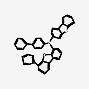 c1ccc(-c2ccc(N(c3ccc4c(c3)sc3ccccc34)c3cccc4c3oc3c(-c5ccccc5)cccc34)cc2)cc1